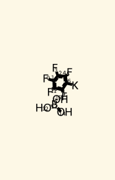 Fc1c(F)c(F)[c]([K])c(F)c1F.OB(O)O